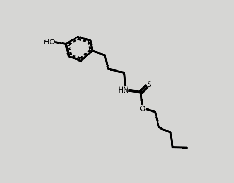 CCCCCOC(=S)NCCCc1ccc(O)cc1